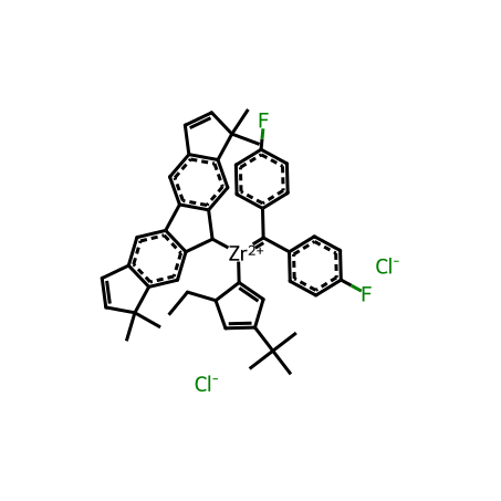 CCC1C=C(C(C)(C)C)C=[C]1[Zr+2](=[C](c1ccc(F)cc1)c1ccc(F)cc1)[CH]1c2cc3c(cc2-c2cc4c(cc21)C(C)(C)C=C4)C=CC3(C)C.[Cl-].[Cl-]